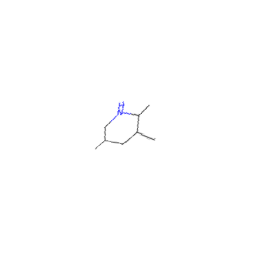 CC1CNC(C)C(C)C1